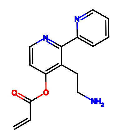 C=CC(=O)Oc1ccnc(-c2ccccn2)c1CCN